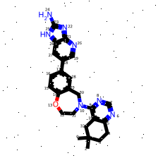 CC1(C)CCc2ncnc(N3CCOc4ccc(-c5cnc6nc(N)[nH]c6c5)cc4C3)c2C1